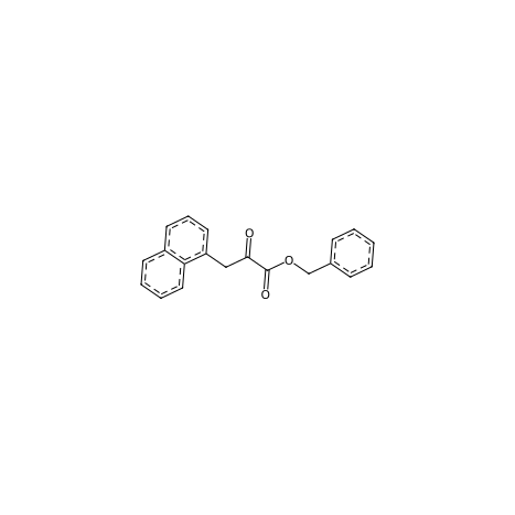 O=C(Cc1cccc2ccccc12)C(=O)OCc1ccccc1